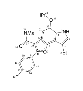 CCC1=CNC2C1=c1oc(-c3ccc(F)cc3)c(C(=O)NC)c1=CC2OC(C)C